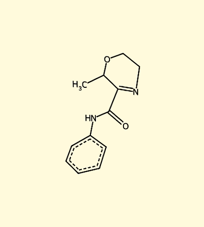 CC1OCCN=C1C(=O)Nc1ccccc1